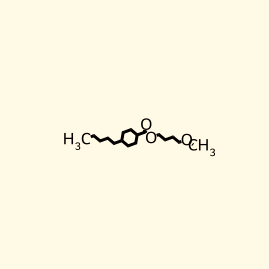 CCCCCC1CCC(C(=O)OCCCCOC)CC1